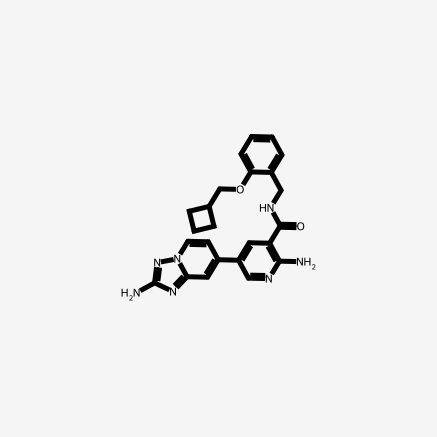 Nc1nc2cc(-c3cnc(N)c(C(=O)NCc4ccccc4OCC4CCC4)c3)ccn2n1